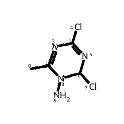 CC1=NC(Cl)=NC(Cl)N1N